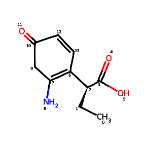 CC[C@H](C(=O)O)C1=C(N)CC(=O)C=C1